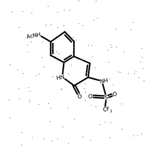 CC(=O)Nc1ccc2cc(NS(=O)(=O)C(F)(F)F)c(=O)[nH]c2c1